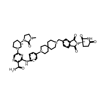 CN1CCN([C@@H]2CCCN(c3cnc(C(N)=O)c(Nc4ccc(N5CCC6(CCN(Cc7ccc8c(c7)C(=O)N([C@@H]7CCC(=O)NC7=O)C8=O)CC6)CC5)cc4)n3)C2)C1=O